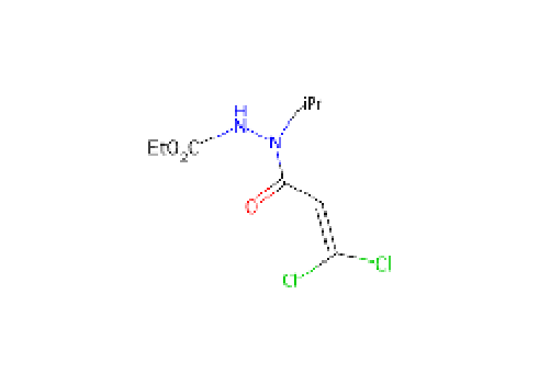 CCOC(=O)NN(C(=O)C=C(Cl)Cl)C(C)C